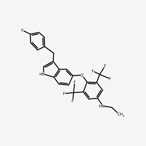 CCNc1cc(C(F)(F)F)c(Oc2ccc3[nH]cc(Cc4ccc(F)cc4)c3c2)c(C(F)(F)F)c1